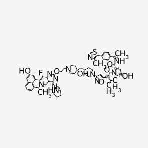 CCc1cccc2cc(O)cc(-c3ncc4c(N5CC6CCC(C5)N6)nc(OCCN5CCC(O)(CC6CCN(c7cc([C@@H](C(=O)N8C[C@H](O)C[C@H]8C(=O)N[C@@H](C)c8ccc(-c9scnc9C)cc8)C(C)C)on7)CC6)CC5)nc4c3F)c12